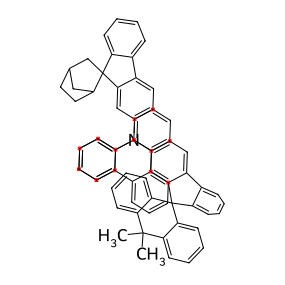 CC1(C)c2ccccc2C2(c3ccccc3-c3ccc(N(c4ccc5c(c4)C4(CC6CCC4C6)c4ccccc4-5)c4ccccc4-c4ccccc4-c4ccccc4-c4ccccc4)cc32)c2ccccc21